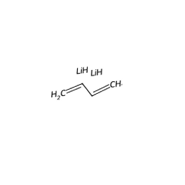 [CH]=CC=C.[LiH].[LiH]